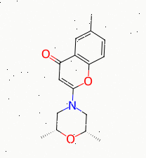 Cc1ccc2oc(N3C[C@@H](C)O[C@@H](C)C3)cc(=O)c2c1